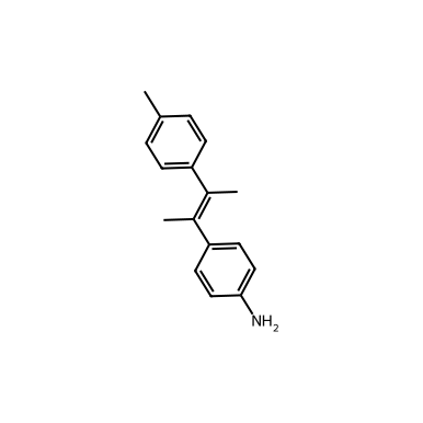 C/C(=C(/C)c1ccc(N)cc1)c1ccc(C)cc1